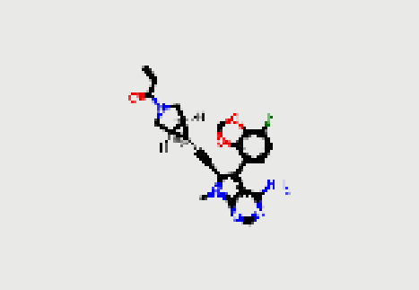 C=CC(=O)N1C[C@@H]2[C@@H](C#Cc3c(-c4ccc(F)c5c4OCO5)c4c(N)ncnc4n3C)[C@@H]2C1